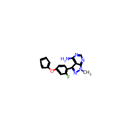 Cn1nc(-c2ccc(Oc3ccccc3)cc2F)c2c(N)ncnc21